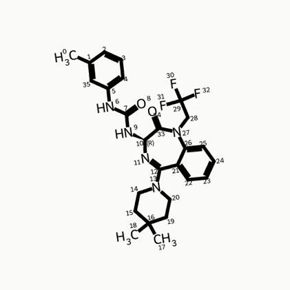 Cc1cccc(NC(=O)N[C@@H]2N=C(N3CCC(C)(C)CC3)c3ccccc3N(CC(F)(F)F)C2=O)c1